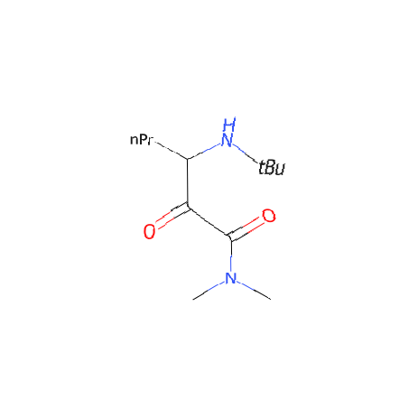 CCCC(NC(C)(C)C)C(=O)C(=O)N(C)C